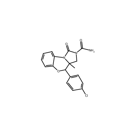 CC12CN(C(N)=O)C(=O)N1c1ccccc1OC2c1ccc(Cl)cc1